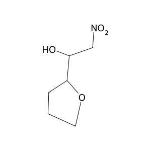 O=[N+]([O-])CC(O)C1CCCO1